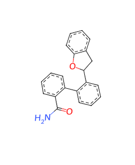 NC(=O)c1ccccc1-c1ccccc1C1Cc2ccccc2O1